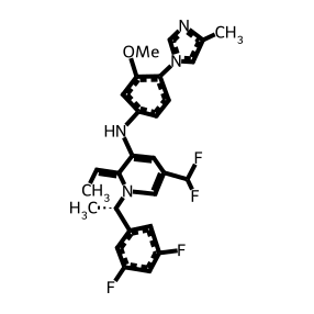 C/C=C1/C(Nc2ccc(-n3cnc(C)c3)c(OC)c2)=CC(C(F)F)=CN1[C@@H](C)c1cc(F)cc(F)c1